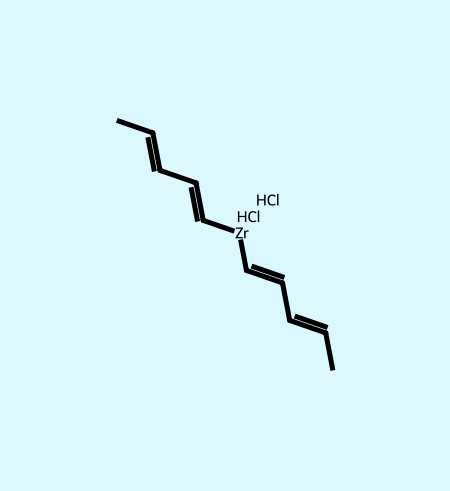 CC=CC=[CH][Zr][CH]=CC=CC.Cl.Cl